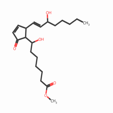 CCCCCC(O)C=CC1C=CC(=O)C1C(O)CCCCCC(=O)OC